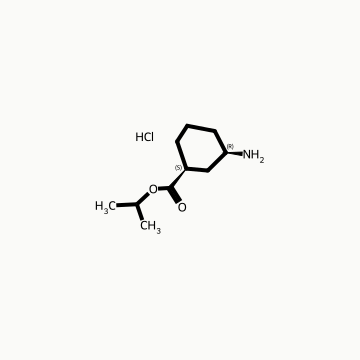 CC(C)OC(=O)[C@H]1CCC[C@@H](N)C1.Cl